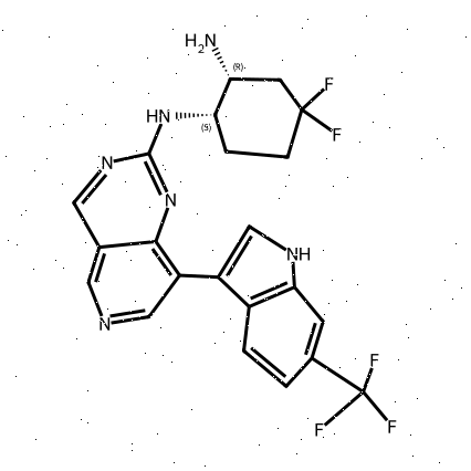 N[C@@H]1CC(F)(F)CC[C@@H]1Nc1ncc2cncc(-c3c[nH]c4cc(C(F)(F)F)ccc34)c2n1